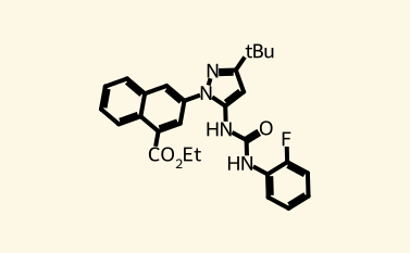 CCOC(=O)c1cc(-n2nc(C(C)(C)C)cc2NC(=O)Nc2ccccc2F)cc2ccccc12